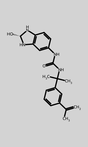 C=C(C)c1cccc(C(C)(C)NC(=O)Nc2ccc3c(c2)N[C@H](O)N3)c1